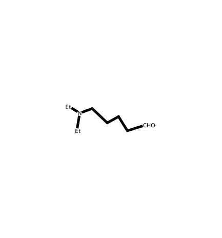 CCN(CC)CCCC[C]=O